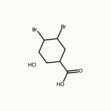 Cl.O=C(O)C1CCC(Br)C(Br)C1